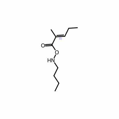 CC/C=C(\C)C(=O)ONCCCC